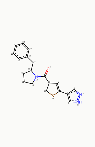 O=C(C1C=C(c2cn[nH]c2)SC1)N1CCCC1Cc1ccccc1